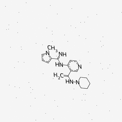 C=C(NN1CCCCC1)c1cnccc1NC(=N)c1cccn1C